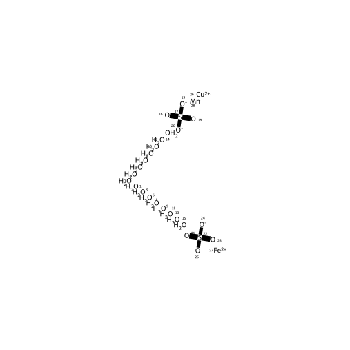 O.O.O.O.O.O.O.O.O.O.O.O.O.O.O.O.O=S(=O)([O-])[O-].O=S(=O)([O-])[O-].[Cu+2].[Fe+2].[Mn]